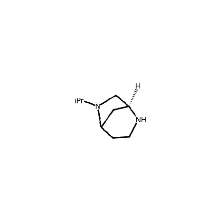 CC(C)N1C[C@@H]2CC1CCN2